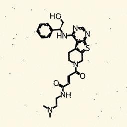 CN(C)CCNC(=O)/C=C/C(=O)N1CCc2c(sc3ncnc(N[C@H](CO)c4ccccc4)c23)C1